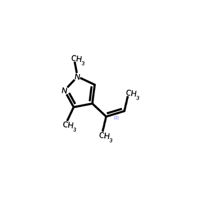 C/C=C(/C)c1cn(C)nc1C